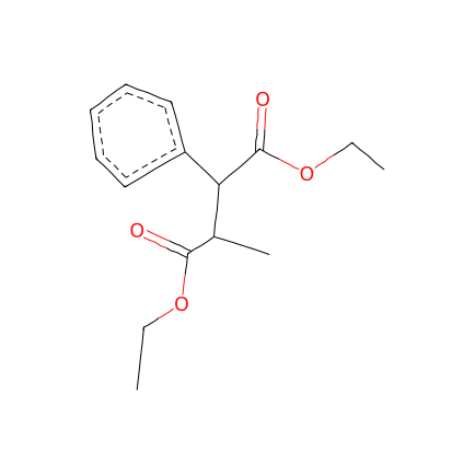 CCOC(=O)C(C)C(C(=O)OCC)c1ccccc1